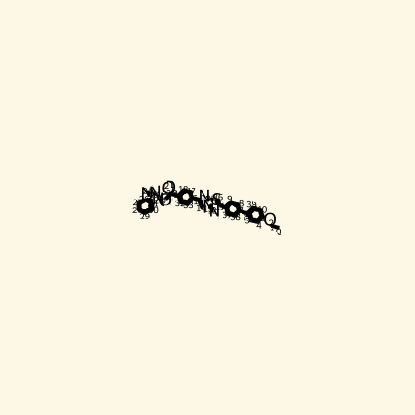 CCOc1ccc(-c2ccc(-c3nn4cc(-c5ccc(C(=O)On6nnc7ccccc76)cc5)nc4s3)cc2)cc1